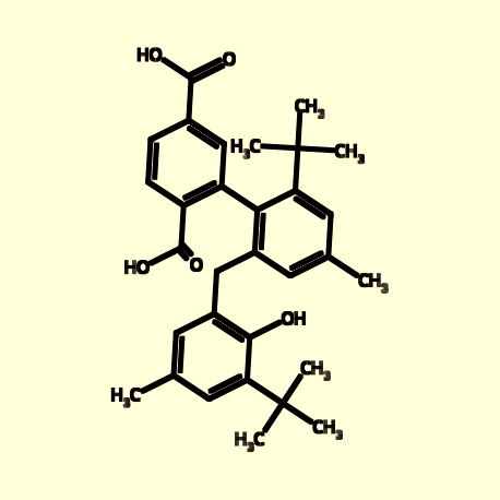 Cc1cc(Cc2cc(C)cc(C(C)(C)C)c2-c2cc(C(=O)O)ccc2C(=O)O)c(O)c(C(C)(C)C)c1